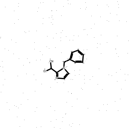 CCC(C#N)c1nccn1Cc1ccccc1